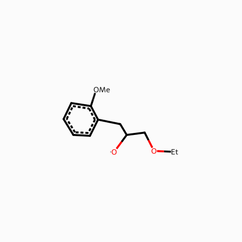 CCOCC([O])Cc1ccccc1OC